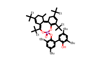 CCC(C)(C)C1=CC(C(C)(C)CC)=C2OP(=O)(Oc3c(-c4cc(C(C)(C)C)cc(C(C)(C)C)c4O)cc(C(C)(C)C)cc3C(C)(C)C)O/C(C(C)(C)CC)=C3/C=C(C(C)(C)CC)CC(C)/C3=C/2C1